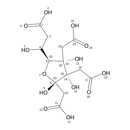 O=C(O)CC(O)[C@@H]1O[C@@](O)(CC(=O)O)[C@](O)(CC(=O)O)[C@]1(O)CC(=O)O